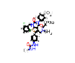 CCNC(=O)Nc1ccc(-c2sc3c(c2CN(C)CCOC)c(=O)n(-c2ccc(C(=O)O)cc2)c(=O)n3Cc2c(F)cccc2F)cc1